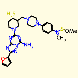 COSN(C)c1ccc(N2CCN(CC3CCCN(c4nc(N)n5nc(-c6ccco6)nc5n4)C3)CC2)cc1.S